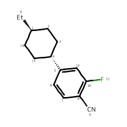 CC[C@H]1CC[C@H](c2ccc(C#N)c(F)c2)CC1